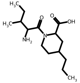 CCCC1CCN(C(=O)C(N)C(C)CC)C(C(=O)O)C1